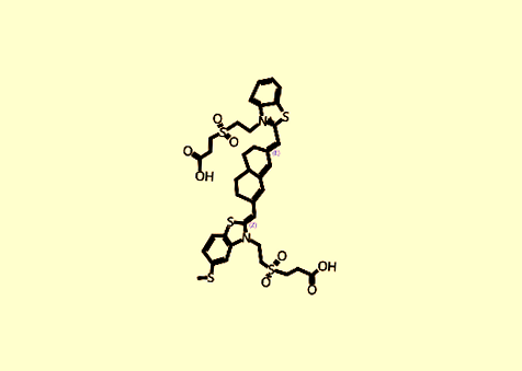 CSc1ccc2c(c1)N(CCS(=O)(=O)CCC(=O)O)/C(=C/C1=CC3=C/C(=C/c4sc5ccccc5[n+]4CCS(=O)(=O)CCC(=O)O)CCC3CC1)S2